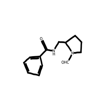 O=CN1CCCC1CNC(=O)c1ccccc1